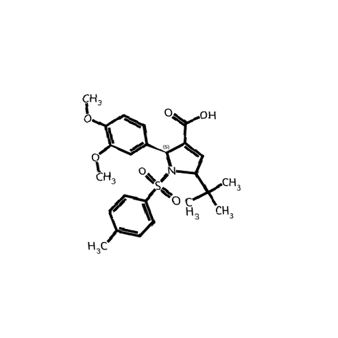 COc1ccc([C@H]2C(C(=O)O)=CC(C(C)(C)C)N2S(=O)(=O)c2ccc(C)cc2)cc1OC